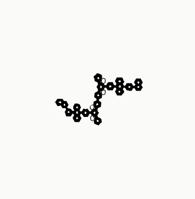 c1cc(-c2ccc3ccccc3c2)cc(-c2c3ccccc3c(-c3ccc(-c4c5oc6ccccc6c5cc5c4oc4cc(-c6ccc7c(c6)oc6c(-c8ccc(-c9c%10ccccc%10c(-c%10ccc(-c%11cccc%12ccccc%11%12)cc%10)c%10ccccc9%10)cc8)c8oc9ccccc9c8cc67)ccc45)cc3)c3ccccc23)c1